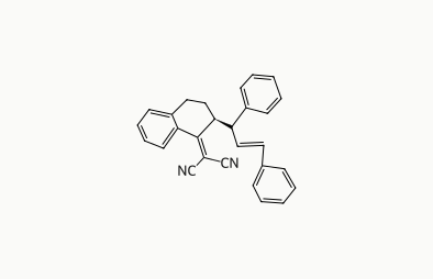 N#CC(C#N)=C1c2ccccc2CC[C@H]1C(/C=C/c1ccccc1)c1ccccc1